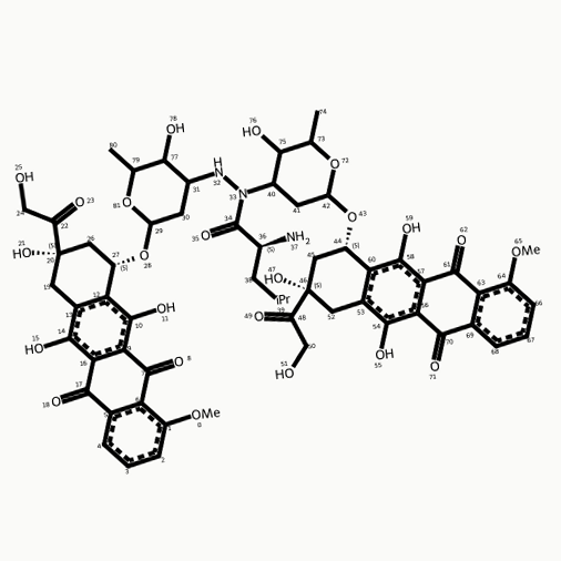 COc1cccc2c1C(=O)c1c(O)c3c(c(O)c1C2=O)C[C@@](O)(C(=O)CO)C[C@@H]3OC1CC(NN(C(=O)[C@@H](N)CC(C)C)C2CC(O[C@H]3C[C@](O)(C(=O)CO)Cc4c(O)c5c(c(O)c43)C(=O)c3c(OC)cccc3C5=O)OC(C)C2O)C(O)C(C)O1